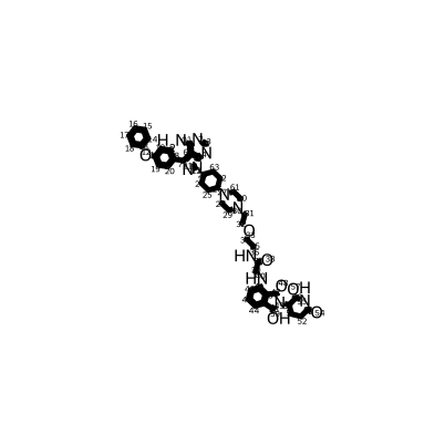 Nc1ncnc2c1c(-c1ccc(Oc3ccccc3)cc1)nn2[C@H]1CC[C@H](N2CCN(CCOCCNC(=O)CNc3cccc4c3C(=O)N(C3CCC(=O)NC3=O)C4O)CC2)CC1